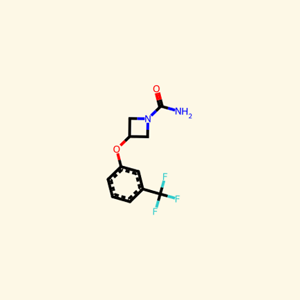 NC(=O)N1CC(Oc2cccc(C(F)(F)F)c2)C1